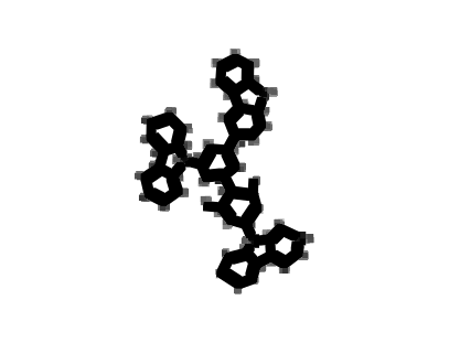 Cc1cc(-n2c3ccccc3c3ccncc32)cc(C)c1-c1cc(-c2ccc3sc4ccccc4c3c2)cc(-n2c3ccccc3c3ccccc32)c1